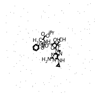 C#C[C@@]1(F)[C@H](O)[C@@H](CO[P@@](=O)(NC(C)C(=O)OC(C)C)Oc2ccccc2)O[C@H]1n1cnc2c(NC3CC3)nc(N)nc21